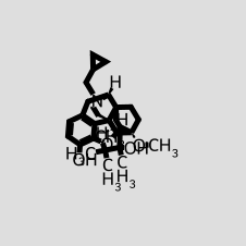 CO[C@@]12CCC3(C[C@@H]1C(C)(O)C(C)(C)C)[C@H]1Cc4ccc(O)c5c4[C@@]3(CCN1CC1CC1)[C@H]2O5